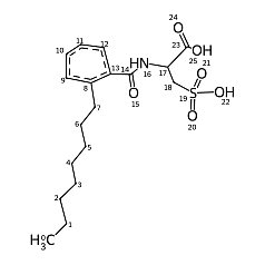 CCCCCCCCc1ccccc1C(=O)NC(CS(=O)(=O)O)C(=O)O